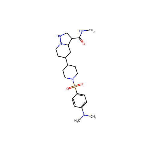 CNC(=O)C1CNN2CCC(C3CCN(S(=O)(=O)c4ccc(N(C)C)cc4)CC3)CC12